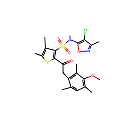 COc1c(C)cc(C)c(CC(=O)c2sc(C)c(C)c2S(=O)(=O)Nc2onc(C)c2Cl)c1C